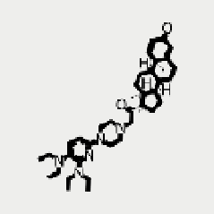 CCN(CC)c1ccc(N2CCN(CC(=O)[C@H]3CC[C@H]4[C@@H]5CCC6=CC(=O)C=C[C@]6(C)[C@H]5CC[C@]34C)CC2)nc1N(CC)CC